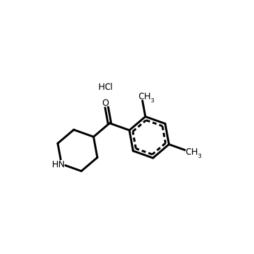 Cc1ccc(C(=O)C2CCNCC2)c(C)c1.Cl